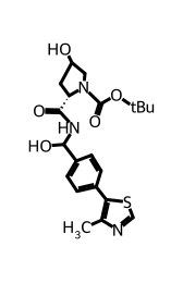 Cc1ncsc1-c1ccc(C(O)NC(=O)[C@@H]2CC(O)CN2C(=O)OC(C)(C)C)cc1